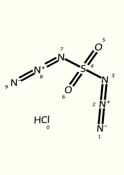 Cl.[N-]=[N+]=NS(=O)(=O)N=[N+]=[N-]